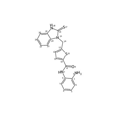 Nc1ccccc1NC(=O)c1ccc(Cn2c(=S)[nH]c3ccccc32)s1